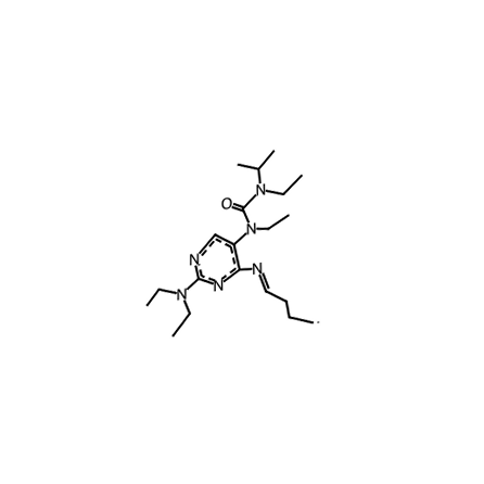 [CH2]CCC=Nc1nc(N(CC)CC)ncc1N(CC)C(=O)N(CC)C(C)C